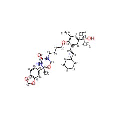 CCCc1cc(C(O)(C(F)(F)F)C(F)(F)F)cc(/C=C/C2CCCCC2)c1OCCCCN1COC(CC)(c2ccc3c(c2)OCO3)NC1=O